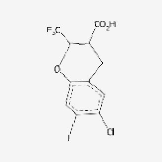 O=C(O)C1Cc2cc(Cl)c(I)cc2OC1C(F)(F)F